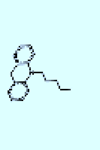 CCCCCN1c2ccccc2Cc2ccccc21